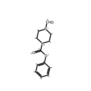 O=CN1CCN(C(=O)Oc2ccccc2)CC1